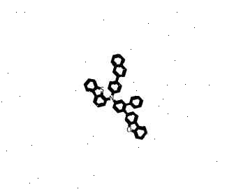 c1ccc(-c2cc(N(c3ccc(-c4ccc5ccccc5c4)cc3)c3cccc4c3sc3ccccc34)ccc2-c2ccc3c(c2)oc2ccccc23)cc1